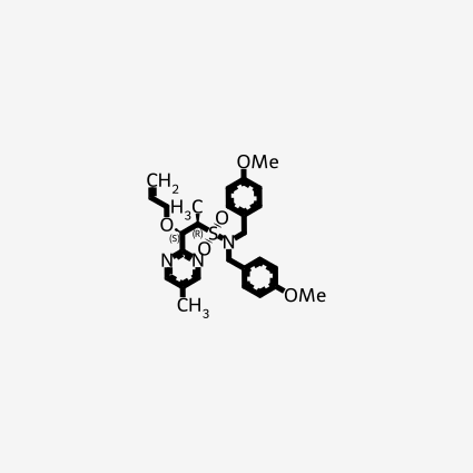 C=CCO[C@@H](c1ncc(C)cn1)[C@@H](C)S(=O)(=O)N(Cc1ccc(OC)cc1)Cc1ccc(OC)cc1